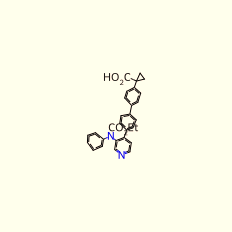 CCOC(=O)N(c1ccccc1)c1cnccc1-c1ccc(-c2ccc(C3(C(=O)O)CC3)cc2)cc1